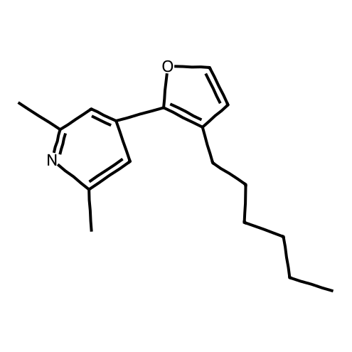 CCCCCCc1ccoc1-c1cc(C)nc(C)c1